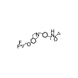 C[C@H](NC(=O)C1CC1)c1ccc(CN2CCc3cc(OC[C@H]4CC4(F)F)ccc3C2)cc1